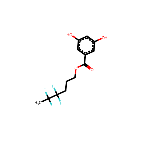 CC(F)(F)C(F)(F)CCCOC(=O)c1cc(O)cc(O)c1